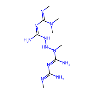 C/N=C(N)/N=C(\N)N(C)NN/C(N)=N\C(=N\C)N(C)C